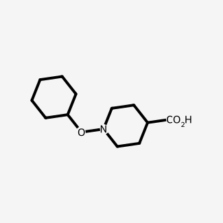 O=C(O)C1CCN(OC2CCCCC2)CC1